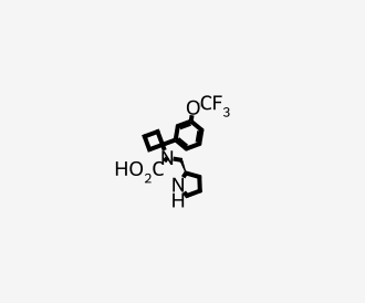 O=C(O)N(C[C@H]1CCCN1)C1(c2cccc(OC(F)(F)F)c2)CCC1